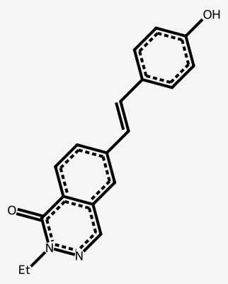 CCn1ncc2cc(/C=C/c3ccc(O)cc3)ccc2c1=O